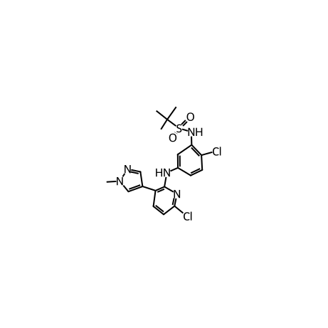 Cn1cc(-c2ccc(Cl)nc2Nc2ccc(Cl)c(NS(=O)(=O)C(C)(C)C)c2)cn1